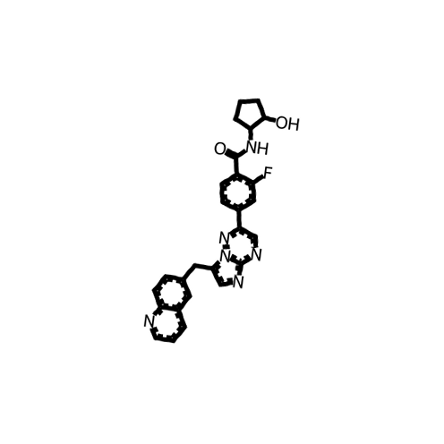 O=C(NC1CCCC1O)c1ccc(-c2cnc3ncc(Cc4ccc5ncccc5c4)n3n2)cc1F